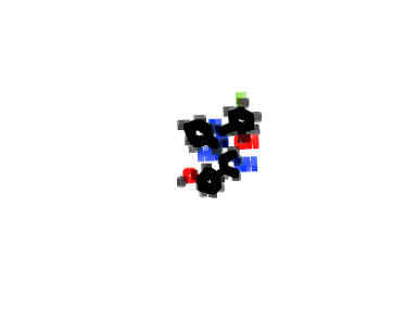 COc1cccc([C@@H]2CNC[C@H]2Nc2nc(-c3cc(F)ccc3O)nc3ccccc23)c1